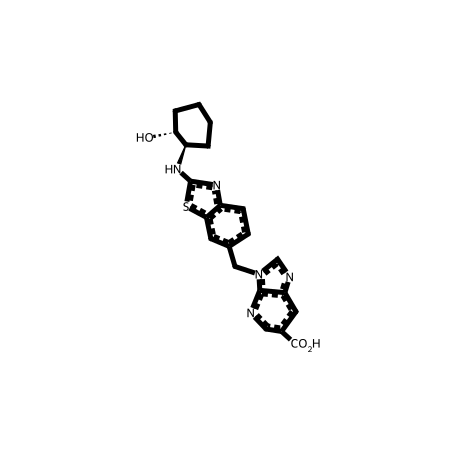 O=C(O)c1cnc2c(c1)ncn2Cc1ccc2nc(N[C@@H]3CCCC[C@H]3O)sc2c1